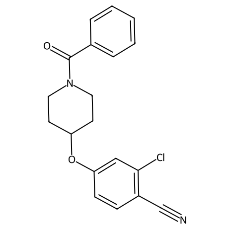 N#Cc1ccc(OC2CCN(C(=O)c3ccccc3)CC2)cc1Cl